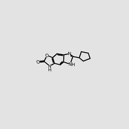 O=c1[nH]c2cc3[nH]c(C4CCCC4)nc3cc2o1